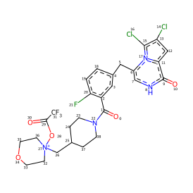 O=C(c1cc(Cc2c[nH]c(=O)c3cc(Cl)c(Cl)n23)ccc1F)N1CCC(C[N+]2(OC(=O)C(F)(F)F)CCOCC2)CC1